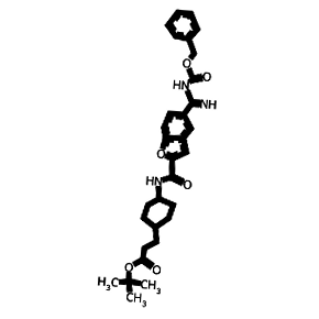 CC(C)(C)OC(=O)CCC1CCC(NC(=O)c2cc3cc(C(=N)NC(=O)OCc4ccccc4)ccc3o2)CC1